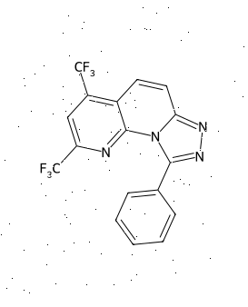 FC(F)(F)c1cc(C(F)(F)F)c2ccc3nnc(-c4ccccc4)n3c2n1